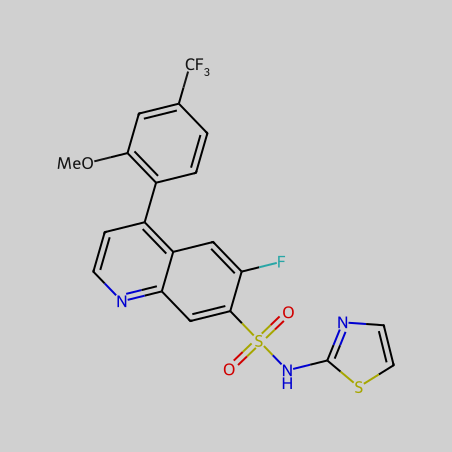 COc1cc(C(F)(F)F)ccc1-c1ccnc2cc(S(=O)(=O)Nc3nccs3)c(F)cc12